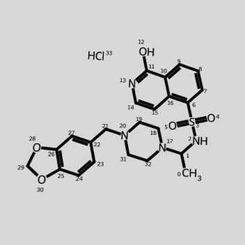 CC(NS(=O)(=O)c1cccc2c(O)nccc12)N1CCN(Cc2ccc3c(c2)OCO3)CC1.Cl